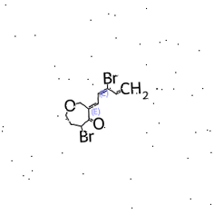 C=C/C(Br)=C\C=C1/COCCC(Br)C1=O